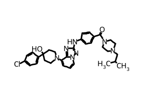 CC(C)CN1CCN(C(=O)c2ccc(Nc3nc4c(N5CCC(O)(c6ccc(Cl)cc6)CC5)cccn4n3)cc2)CC1